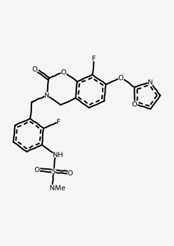 CNS(=O)(=O)Nc1cccc(CN2Cc3ccc(Oc4ncco4)c(F)c3OC2=O)c1F